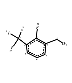 [O]Cc1cccc(C(F)(F)F)c1F